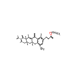 C=C(CCc1cc(C(C)C)c2c(c1C)C(=C)C1=C(C)[C@@]3(C)C(=C)C(C(=C)C)=C(C)C[C@@]3(C)C[C@@]1(C)C2)OCCCCCC